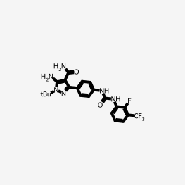 CC(C)(C)n1nc(-c2ccc(NC(=O)Nc3cccc(C(F)(F)F)c3F)cc2)c(C(N)=O)c1N